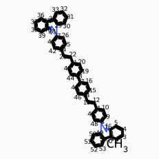 CC12C=CC=CC1N(c1ccc(/C=C/c3ccc(-c4ccc(/C=C/c5ccc(-n6c7ccccc7c7ccccc76)cc5)cc4)cc3)cc1)c1ccccc12